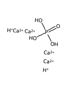 O=P(O)(O)O.[Ca+2].[Ca+2].[Ca+2].[Ca+2].[H+].[H+]